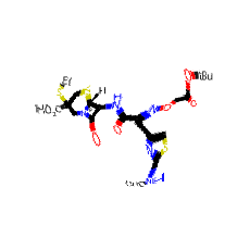 CCSC1(C(=O)O)CS[C@@H]2C(NC(=O)C(=NOCC(=O)OC(C)(C)C)c3csc(NC=O)n3)C(=O)N2C1